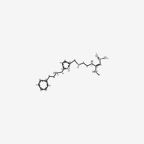 CN/C(=C/[N+](=O)[O-])NCCSCc1ccc(CNCCc2ccccc2)o1